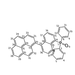 O=P(c1ccccc1)(c1ccccc1)c1cccc2c(-c3ccc4ccc5cccc6ccc3c4c56)cccc12